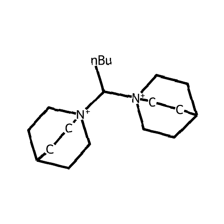 CCCCC([N+]12CCC(CC1)CC2)[N+]12CCC(CC1)CC2